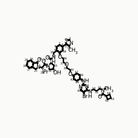 Cc1ncsc1-c1ccc(CNC(=O)[C@@H]2C[C@@H](O)CN2C(=O)[C@H](C(C)C)N2Cc3ccccc3C2=O)c(OCCOCCOc2ccc(Nc3ncc(Br)c(NCCCN(C)C(=O)C4CCC4)n3)cc2)c1